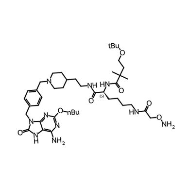 CCCCOc1nc(N)c2[nH]c(=O)n(Cc3ccc(CN4CCC(CCNC(=O)[C@H](CCCCNC(=O)CON)NC(=O)C(C)(C)CCOC(C)(C)C)CC4)cc3)c2n1